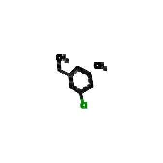 C.C=Cc1cccc(Cl)c1